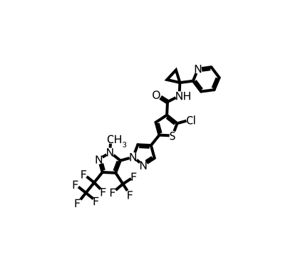 Cn1nc(C(F)(F)C(F)(F)F)c(C(F)(F)F)c1-n1cc(-c2cc(C(=O)NC3(c4ccccn4)CC3)c(Cl)s2)cn1